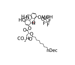 CCCCCCCCCCCCCCCCCC(=O)O[C@@H](CC(=O)O)C(=O)OC1=CC[C@@]2(O)[C@H]3Cc4ccc(OC)c5c4[C@@]2(CCN3C)[C@H]1O5.O=C(O)C(F)(F)F